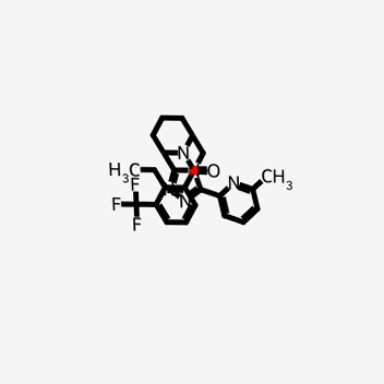 CCc1c(C(=O)N2C3CCCC2c2nnc(-c4cccc(C)n4)n2C3)cccc1C(F)(F)F